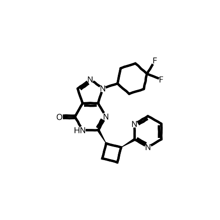 O=c1[nH]c([C@@H]2CC[C@@H]2c2ncccn2)nc2c1cnn2C1CCC(F)(F)CC1